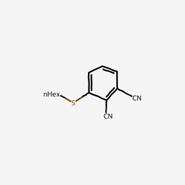 CCCCCCSc1cccc(C#N)c1C#N